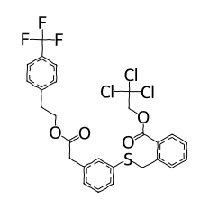 O=C(Cc1cccc(SCc2ccccc2C(=O)OCC(Cl)(Cl)Cl)c1)OCCc1ccc(C(F)(F)F)cc1